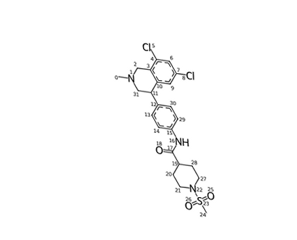 CN1Cc2c(Cl)cc(Cl)cc2C(c2ccc(NC(=O)C3CCN(S(C)(=O)=O)CC3)cc2)C1